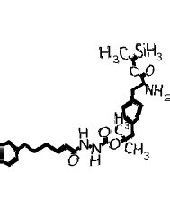 C[C@H]([SiH3])OC(=O)[C@@H](N)Cc1ccc(CC(C)(C)OC(=O)NNC(=O)/C=C/CCCc2ccccc2)cc1